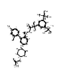 Cc1cc(F)ccc1-c1cc([C@H]2CC[C@@H](CC(=O)O)CC2)ncc1NCC(=O)C(C)(C)c1cc(C(F)(F)F)cc(C(F)(F)F)c1